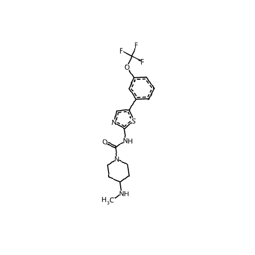 CNC1CCN(C(=O)Nc2ncc(-c3cccc(OC(F)(F)F)c3)s2)CC1